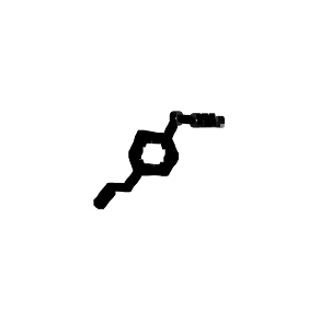 C=CCc1ccc(OOC)cc1